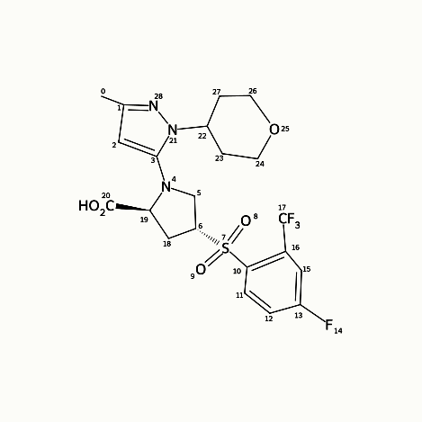 Cc1cc(N2C[C@H](S(=O)(=O)c3ccc(F)cc3C(F)(F)F)C[C@H]2C(=O)O)n(C2CCOCC2)n1